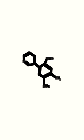 COc1cc(C)c(SC)cc1-c1cccnc1